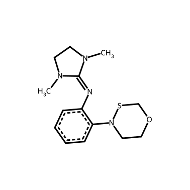 CN1CCN(C)C1=Nc1ccccc1N1CCOCS1